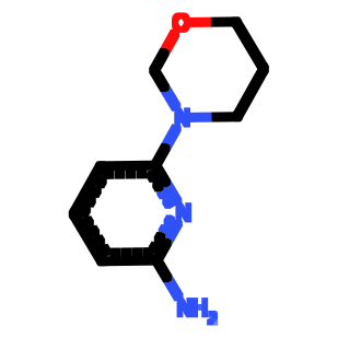 Nc1cccc(N2CCCOC2)n1